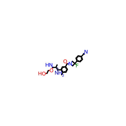 C/C(C(=N)OCCO)=C(/N)c1cc(C(=O)N2CC(F)(c3ccc(C#N)cc3)C2)ccc1C